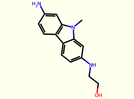 Cn1c2cc(N)ccc2c2ccc(NCCO)cc21